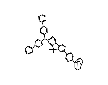 CC1(C)c2cc(-c3ccc(C45CC6CC(CC(C6)C4)C5)cc3)ccc2-c2ccc(N(c3ccc(-c4ccccc4)cc3)c3ccc(-c4ccccc4)cc3)cc21